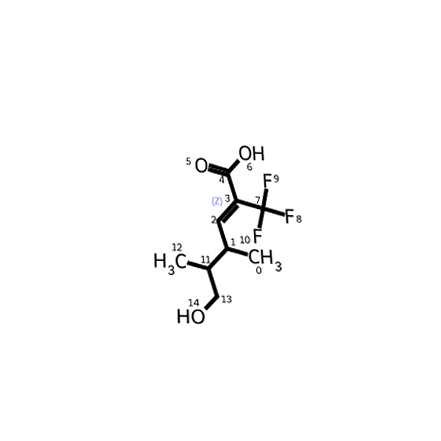 CC(/C=C(/C(=O)O)C(F)(F)F)C(C)CO